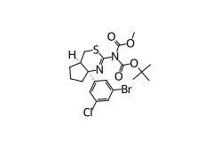 COC(=O)N(C(=O)OC(C)(C)C)C1=N[C@@]2(c3cc(Cl)cc(Br)c3)CCC[C@H]2CS1